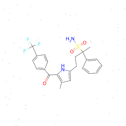 Cc1cc(CCC(C)(c2ccccc2)S(N)(=O)=O)[nH]c1C(=O)c1ccc(C(F)(F)F)cc1